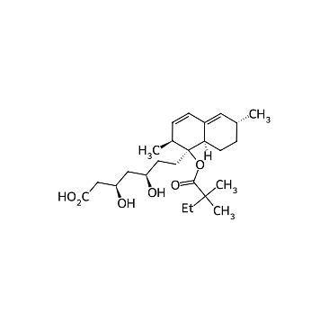 CCC(C)(C)C(=O)O[C@]1(CC[C@@H](O)C[C@@H](O)CC(=O)O)[C@@H]2CC[C@@H](C)C=C2C=C[C@@H]1C